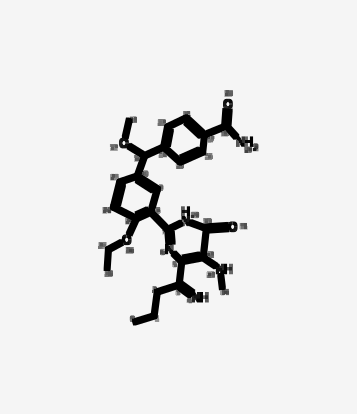 CCCC(=N)c1nc(-c2cc(C(OC)c3ccc(C(N)=O)cc3)ccc2OCC)[nH]c(=O)c1NC